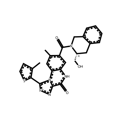 Cc1cc2c(cc1C(=O)N1Cc3ccccc3C[C@@H]1CO)[nH]c(=O)c1nnc(-c3sccc3C)n12